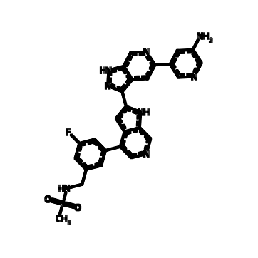 CS(=O)(=O)NCc1cc(F)cc(-c2cncc3[nH]c(-c4n[nH]c5cnc(-c6cncc(N)c6)cc45)cc23)c1